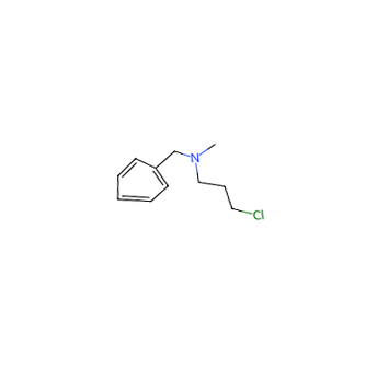 CN(CCCCl)Cc1ccccc1